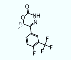 C[C@@H]1OC(=O)NN=C1c1ccc(F)c(C(F)(F)F)c1